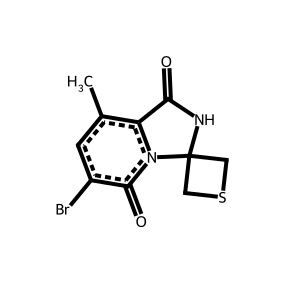 Cc1cc(Br)c(=O)n2c1C(=O)NC21CSC1